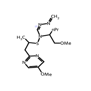 C=N/N=C\N(SC(C)Cc1ncc(OC)cn1)C(CCC)COC